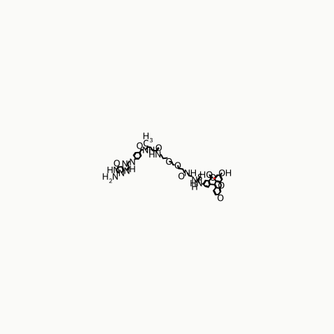 C[C@H](CCC(=O)NCCCOCCOCCC(=O)NCCNC(=S)Nc1ccc(-c2c3ccc(=O)cc-3oc3cc(O)ccc23)c(C(=O)O)c1)NC(=O)c1ccc(NCc2cnc3nc(N)[nH]c(=O)c3n2)cc1